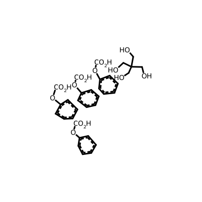 O=C(O)Oc1ccccc1.O=C(O)Oc1ccccc1.O=C(O)Oc1ccccc1.O=C(O)Oc1ccccc1.OCC(CO)(CO)CO